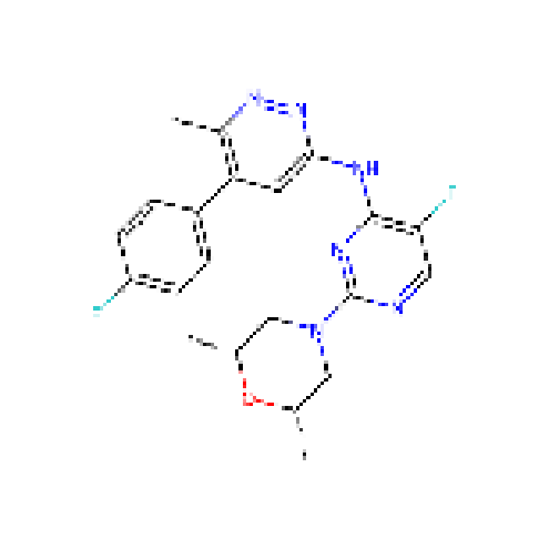 Cc1nnc(Nc2nc(N3C[C@@H](C)O[C@@H](C)C3)ncc2F)cc1-c1ccc(F)cc1